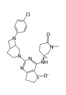 CN1C[C@@H](Nc2nc(N3CCC4CN(c5ccc(Cl)cc5)C4C3)nc3c2[S+]([O-])CC3)CCC1=O